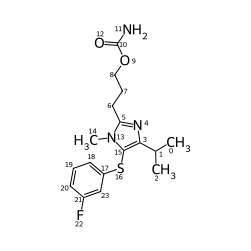 CC(C)c1nc(CCCOC(N)=O)n(C)c1Sc1cccc(F)c1